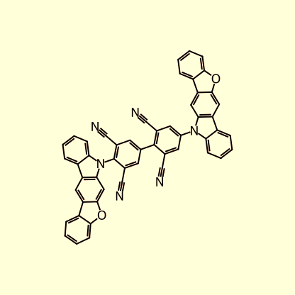 N#Cc1cc(-n2c3ccccc3c3cc4oc5ccccc5c4cc32)cc(C#N)c1-c1cc(C#N)c(-n2c3ccccc3c3cc4c(cc32)oc2ccccc24)c(C#N)c1